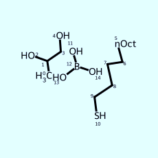 CC(O)CO.CCCCCCCCCCCCS.OB(O)O